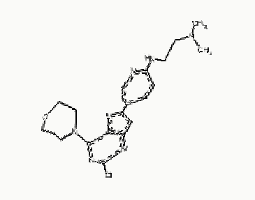 CN(C)CCNc1ccc(-c2cc3nc(Cl)nc(N4CCOCC4)c3s2)cn1